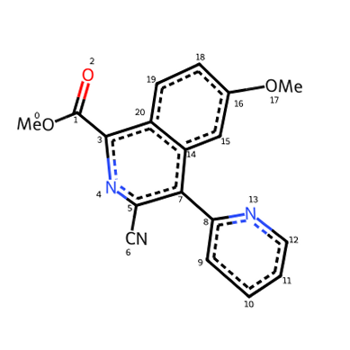 COC(=O)c1nc(C#N)c(-c2ccccn2)c2cc(OC)ccc12